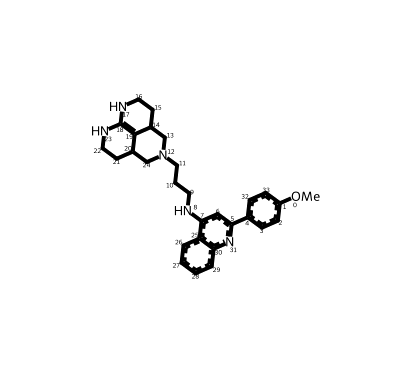 COc1ccc(-c2cc(NCCCN3CC4CCNC5=C4C(CCN5)C3)c3ccccc3n2)cc1